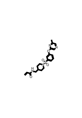 C=CC(=O)NCC1CCN(S(=O)(=O)c2cccc(Oc3cncc(C)n3)c2)CC1